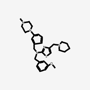 COc1cccc(CN(Cc2cccc(N3CCN(C)CC3)c2)c2nc(CN3CCCCC3)cs2)c1